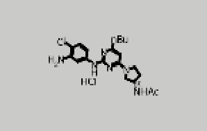 CCCCc1cc(N2CC[C@H](NC(C)=O)C2)nc(Nc2ccc(Cl)c(N)c2)n1.Cl